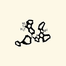 CC1(C)c2ccccc2-c2ccc(N(c3ccc(-c4ccccc4)cc3)c3cccc4c3sc3c4c4ccccc4c4[nH]c5ccccc5c43)cc21